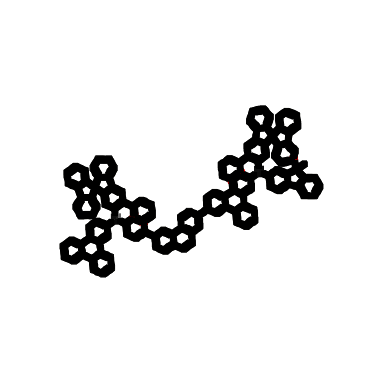 CC1(C)c2ccccc2-c2ccc(N(c3ccc4c5ccc(-c6ccc7c(ccc8ccc(-c9ccc(N(c%10ccc%11c%12ccccc%12c%12ccccc%12c%11c%10)c%10cc%11c(cc%10-c%10ccccc%10)-c%10ccccc%10C%11%10c%11ccccc%11-c%11ccccc%11%10)cc9)cc87)c6)cc5c5ccccc5c4c3)c3cc4c(cc3-c3ccccc3)-c3ccccc3C43c4ccccc4-c4ccccc43)cc21